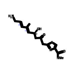 CNC(=O)c1csc(CC(=O)C[C@H](O)/C=C(C)/C=C/CN)n1